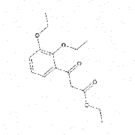 CCOC(=O)CC(=O)c1cccc(OCC)c1OCC